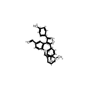 CN1CCCC(COc2ccc(C=O)cc2-c2c(-c3ccc(O)cc3)noc2-c2ccc(O)cc2)C1